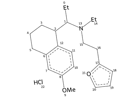 CCC(C1CCCc2cc(OC)ccc21)N(CC)CCc1ccco1.Cl